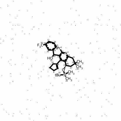 CC(C)c1nc2c(c(C3=CCCC3)c1C(O)c1cccc(C(F)(F)F)c1)[C@H](O[Si](C)(C)C(C)(C)C)CC(C)(C)C2